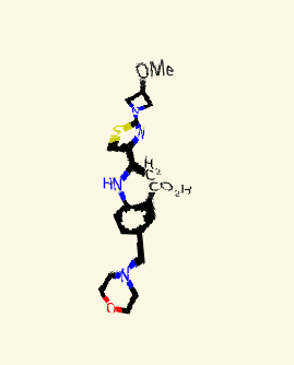 C=C(Nc1ccc(CN2CCOCC2)cc1C(=O)O)c1csc(N2CC(OC)C2)n1